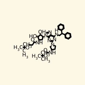 CC(C)(C)OCCC(=O)N[C@H]1C[C@@H](n2cnc3c(NCC(c4ccccc4)c4ccccc4)nc(N4CC[C@@H](NC(=O)OC(C)(C)C)C4)nc32)[C@H](O)[C@@H]1O